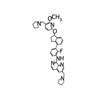 COc1nc(O[C@@H]2CCc3c(-c4cccc(Nc5nccc6cc(CN7CCCC7)cnc56)c4F)cccc32)ccc1CN1CCCC1